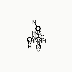 N#Cc1ccc2sc(C3=C(NC4CCCNC4)N[C@@H](N4CCOCC4)NC3=O)nc2c1